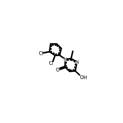 Cc1nc(O)cc(=O)n1-c1cccc(Cl)c1Cl